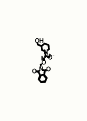 O=C1c2ccccc2C(=O)N1CON=[N+]([O-])N1CCCC(CO)C1